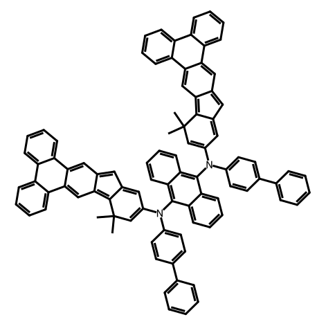 CC1(C)C=C(N(c2ccc(-c3ccccc3)cc2)c2c3ccccc3c(N(C3=CC(C)(C)C4=c5cc6c7ccccc7c7ccccc7c6cc5=CC4=C3)c3ccc(-c4ccccc4)cc3)c3ccccc23)C=C2C=c3cc4c5ccccc5c5ccccc5c4cc3=C21